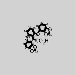 O=C(O)Cc1c(Oc2ccc3c(c2)OCO3)cccc1Oc1cccc2c1OCO2